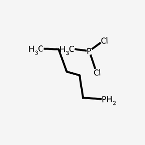 CCCCCP.CP(Cl)Cl